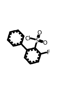 O=S(=O)(Cl)c1c(F)cccc1-c1ccccc1